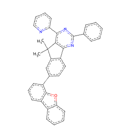 CC1(C)c2cc(-c3cccc4c3oc3ccccc34)ccc2-c2nc(-c3ccccc3)nc(-c3ccccn3)c21